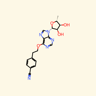 C[C@H]1O[C@@H](n2cnc3c(OCCc4ccc(C#N)cc4)ncnc32)[C@H](O)[C@@H]1O